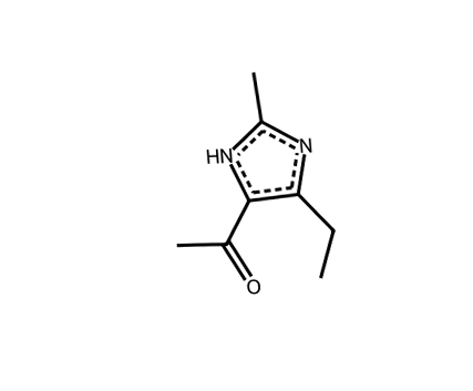 CCc1nc(C)[nH]c1C(C)=O